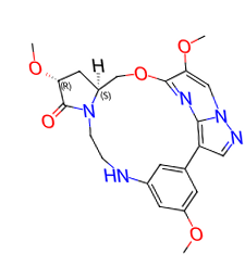 COc1cc2cc(c1)-c1cnn3cc(OC)c(nc13)OC[C@@H]1C[C@@H](OC)C(=O)N1CCN2